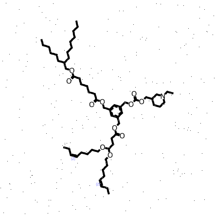 CC/C=C\CCCCOC(CCC(=O)OCc1cc(COC(=O)CCCCCC(=O)OCC(CCCCCC)CCCCCCCC)cc(COC(=O)OCC2CCCN(CC)C2)c1)OCCCC/C=C\CC